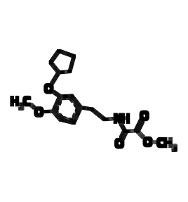 COC(=O)C(=O)NCCc1ccc(OC)c(OC2CCCC2)c1